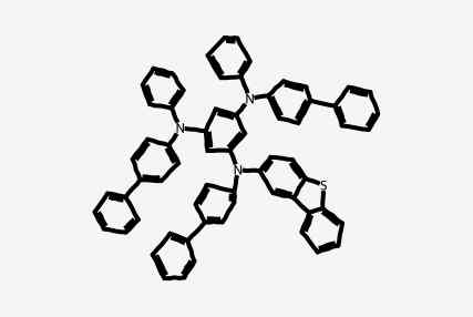 c1ccc(-c2ccc(N(c3ccccc3)c3cc(N(c4ccccc4)c4ccc(-c5ccccc5)cc4)cc(N(c4ccc(-c5ccccc5)cc4)c4ccc5sc6ccccc6c5c4)c3)cc2)cc1